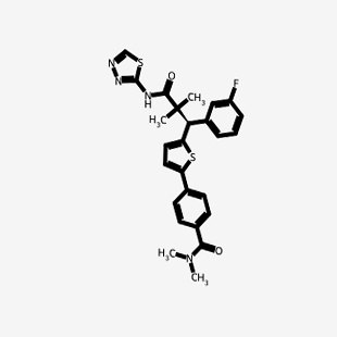 CN(C)C(=O)c1ccc(-c2ccc([C@H](c3cccc(F)c3)C(C)(C)C(=O)Nc3nncs3)s2)cc1